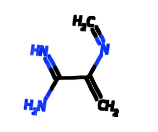 C=NC(=C)C(=N)N